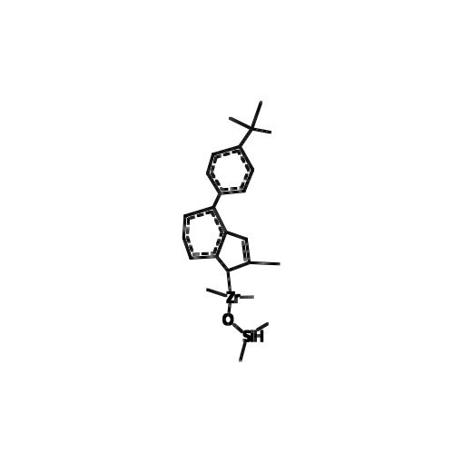 CC1=Cc2c(-c3ccc(C(C)(C)C)cc3)cccc2[CH]1[Zr]([CH3])([CH3])[O][SiH](C)C